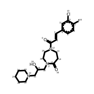 O=C(C=Cc1ccc(F)c(Cl)c1)N1CCC(=O)N(CC(O)CN2CCCCC2)CC1